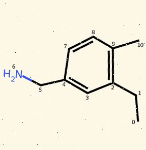 CCc1cc(CN)ccc1C